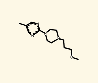 COCCCN1CCN(c2ncc(C)cn2)CC1